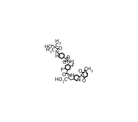 Cn1ccc(=O)n(-c2ccc(C[C@H](NC(=O)c3cc(F)c(NS(=O)(=O)c4ccc(NC(=O)C(C)(C)CO)cc4)cc3F)C(=O)O)cn2)c1=O